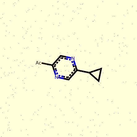 CC(=O)c1cnc(C2CC2)cn1